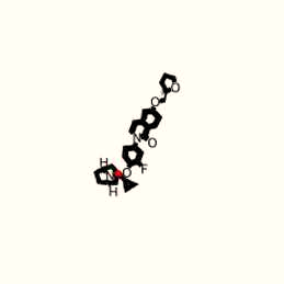 O=c1c2ccc(OC[C@H]3CCCO3)cc2ccn1-c1ccc(O[C@@H]2C[C@H]3CC[C@@H](C2)N3CC2CC2)c(F)c1